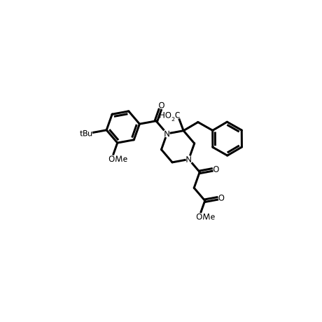 COC(=O)CC(=O)N1CCN(C(=O)c2ccc(C(C)(C)C)c(OC)c2)C(Cc2ccccc2)(C(=O)O)C1